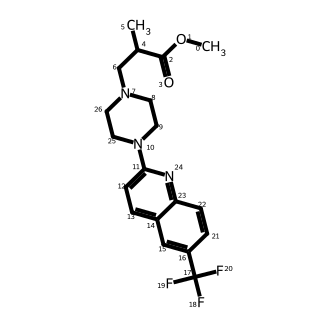 COC(=O)C(C)CN1CCN(c2ccc3cc(C(F)(F)F)ccc3n2)CC1